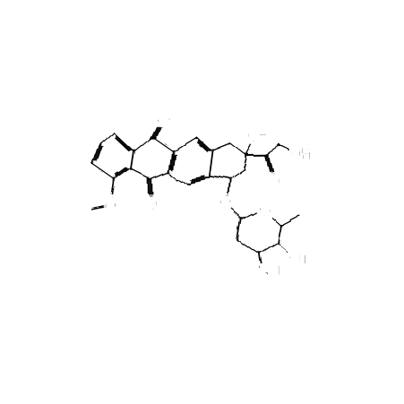 COc1cccc2c1C(=O)c1cc3c(cc1C2=O)CC(O)(C(=O)CO)CC3OC1CC(N)C(O)C(C)O1